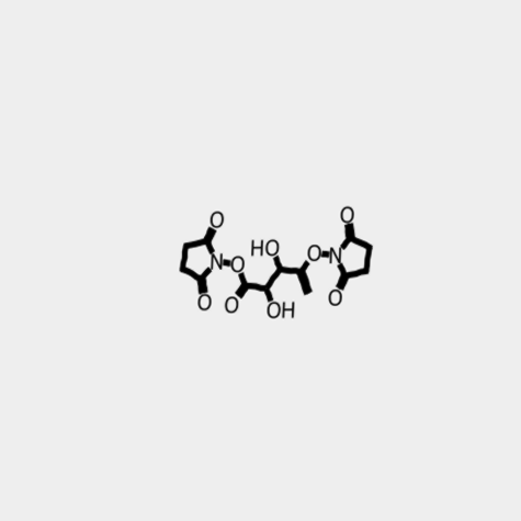 C=C(ON1C(=O)CCC1=O)C(O)C(O)C(=O)ON1C(=O)CCC1=O